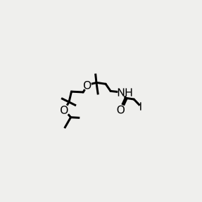 CC(C)OC(C)(C)CCOC(C)(C)CCNC(=O)CI